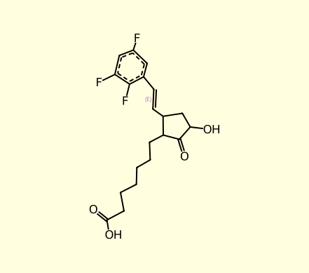 O=C(O)CCCCCCC1C(=O)C(O)CC1/C=C/c1cc(F)cc(F)c1F